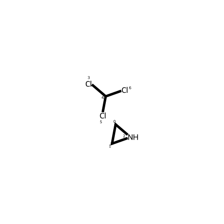 C1CN1.ClC(Cl)Cl